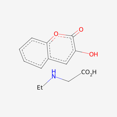 CCNCC(=O)O.O=c1oc2ccccc2cc1O